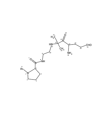 CC(=O)N1CCCC1C(=O)NCCNC(C)(C)C(=O)C(N)CCC=O